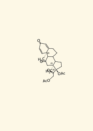 CC(=O)OCC(=O)[C@@]1(OC(C)=O)CCC2C3CCC4=CC(=O)C=C[C@]4(C)C3C(=O)C[C@@]21C